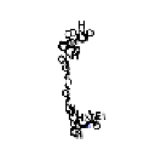 C=c1[nH]/c(=C\c2cn(Cc3cn(CCOCCOCCOCC(=O)Nc4cccc5c4C(=O)N(C4CCC(=O)NC4=O)C5=O)nn3)c3cccnc23)c(=O)n1CC